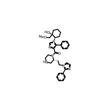 COC[C@]1(O)CCCC[C@H]1n1cnc(C(=O)N2CCNC[C@H]2CCn2ccnc2-c2ccccc2)c1-c1ccccc1